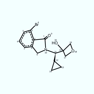 O=C1c2c(Br)cccc2CN1[C@H](C1CC1)C1(O)COC1